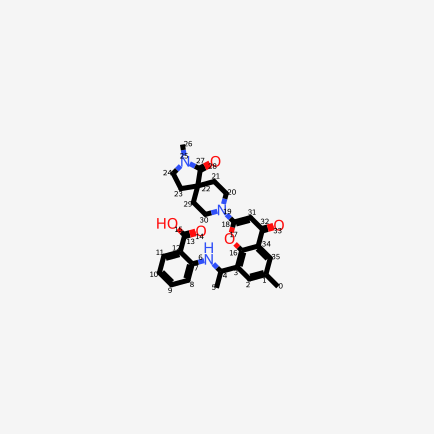 Cc1cc(C(C)Nc2ccccc2C(=O)O)c2oc(N3CCC4(CCN(C)C4=O)CC3)cc(=O)c2c1